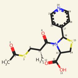 CC(=O)SC[C@@H](C)C(=O)N1C(C(=O)O)CSC1c1ccncc1